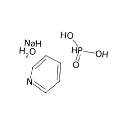 O.O=[PH](O)O.[NaH].c1ccncc1